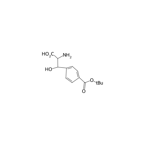 CC(C)(C)OC(=O)c1ccc(C(O)C(N)C(=O)O)cc1